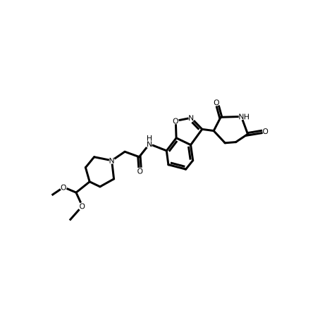 COC(OC)C1CCN(CC(=O)Nc2cccc3c(C4CCC(=O)NC4=O)noc23)CC1